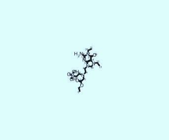 CCOC(=O)CN(CCN1CN(CC)c2c1nc(N)n(CC)c2=O)CCP(=O)(O)O